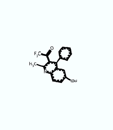 Cc1nc2ccc(C(C)(C)C)cc2c(-c2ccccc2)c1C(=O)C(F)(F)F